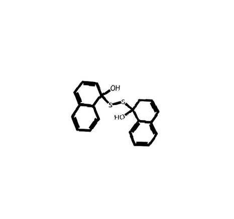 OC1(SSC2(O)C=CC=C3C=CC=CC32)CC=Cc2ccccc21